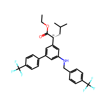 CCOC(=O)[C@H](CC(C)C)c1cc(NCc2ccc(C(F)(F)F)cc2)cc(-c2ccc(C(F)(F)F)cc2)c1